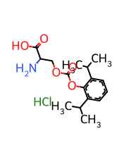 CC(C)c1cccc(C(C)C)c1OC(=O)OC[C@@H](N)C(=O)O.Cl